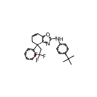 CC(C)(C)c1ccc(Nc2nc3c(o2)C=CCC3(CC(F)(F)F)c2ccccc2)cc1